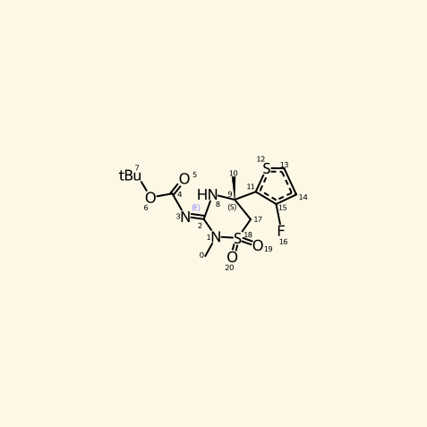 CN1/C(=N/C(=O)OC(C)(C)C)N[C@](C)(c2sccc2F)CS1(=O)=O